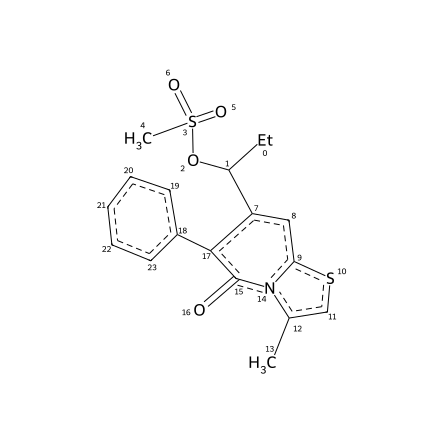 CCC(OS(C)(=O)=O)c1cc2scc(C)n2c(=O)c1-c1ccccc1